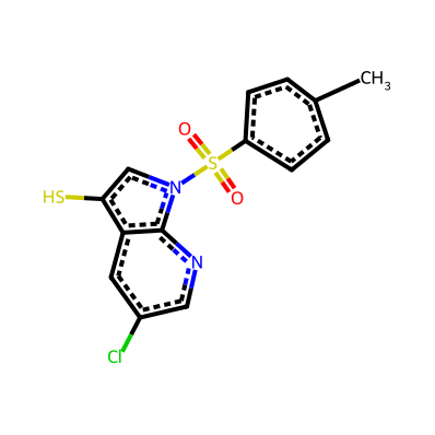 Cc1ccc(S(=O)(=O)n2cc(S)c3cc(Cl)cnc32)cc1